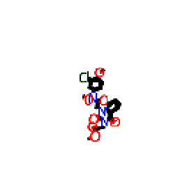 COC(=O)Cn1c(=O)c2ccccc2n(CC(=O)N(OC)c2ccc(OC)c(Cl)c2)c1=O